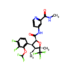 CNC(=O)c1cc(NC(=O)[C@H]2O[C@@](C)(C(F)(F)F)[C@@H](C)[C@H]2c2ccc(F)c(F)c2OC(F)F)ccn1